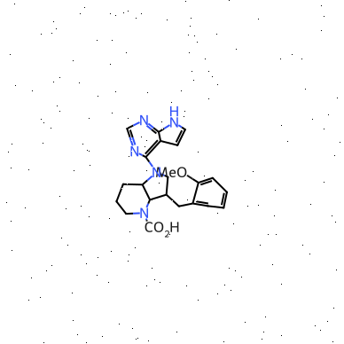 COc1ccccc1CC1CN(c2ncnc3[nH]ccc23)C2CCCN(C(=O)O)C12